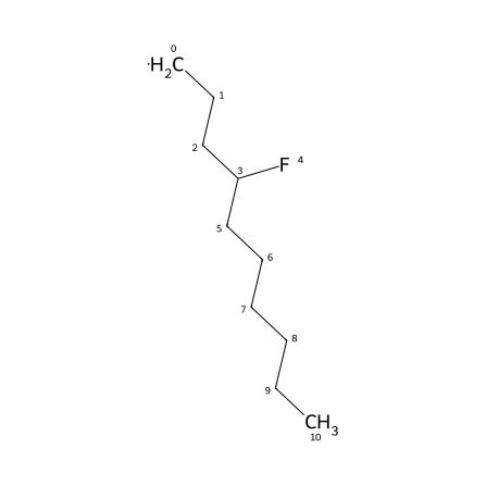 [CH2]CCC(F)CCCCCC